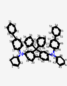 C1=CCCC(N(c2ccc(-c3ccccc3)cc2)c2ccc3c(c2)C(c2ccccc2)(c2ccccc2)c2cc(N(C4=CC=CCC4)c4ccc(-c5ccccc5)cc4)ccc2-3)=C1